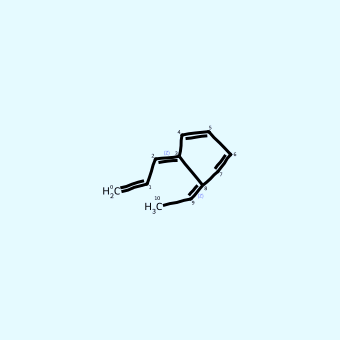 C=C/C=c1/cccc/c1=C/C